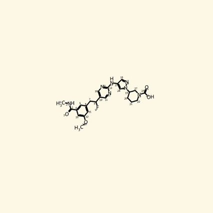 CNC(=O)c1cc(CC(F)c2cnc(Nc3cnn(C4CCCN(C(=O)O)C4)c3)nc2)cc(OC)c1